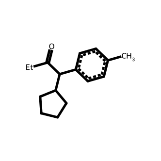 CCC(=O)C(c1ccc(C)cc1)C1CCCC1